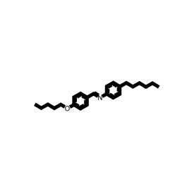 CCCCCCc1ccc(/N=C/c2ccc(OCCCCC)cc2)cc1